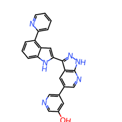 Oc1cncc(-c2cnc3[nH]nc(-c4cc5c(-c6ccccn6)cccc5[nH]4)c3c2)c1